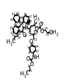 C=CCOC(=O)Nc1ccc(OCC(=O)S[C@@H]2[C@@H]([C@@H](C)OC(=O)OCC=C)C(=O)N2C(C(=O)OCC=C)=P(c2ccccc2)(c2ccccc2)c2ccccc2)cc1